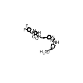 COCCN1CCC(Nc2cnc3ccc(C#CCNC(=O)c4ccnn(Cc5ccc(F)c(F)c5)c4=O)cc3n2)CC1